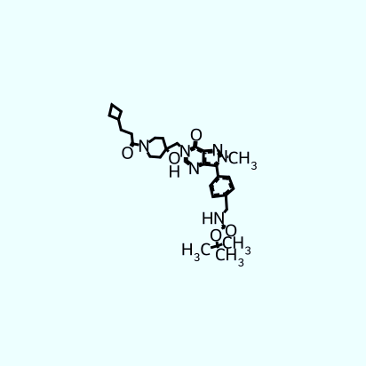 Cn1nc2c(=O)n(CC3(O)CCN(C(=O)CCC4CCC4)CC3)cnc2c1-c1ccc(CNC(=O)OC(C)(C)C)cc1